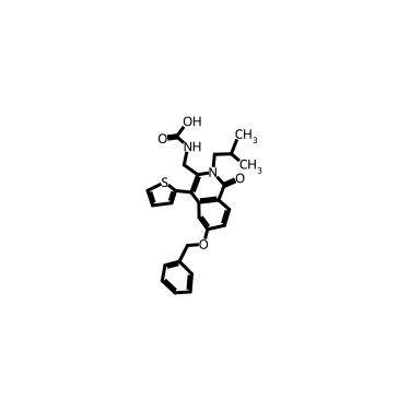 CC(C)Cn1c(CNC(=O)O)c(-c2cccs2)c2cc(OCc3ccccc3)ccc2c1=O